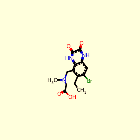 CCc1c(Br)cc2[nH]c(=O)c(=O)[nH]c2c1CN(C)CC(=O)O